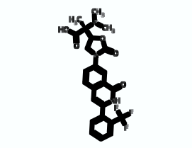 CN(C)[C@@](C)(C(=O)O)C1CN(c2ccc3cc(-c4ccccc4C(F)(F)F)[nH]c(=O)c3c2)C(=O)O1